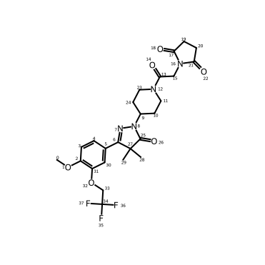 COc1ccc(C2=NN(C3CCN(C(=O)CN4C(=O)CCC4=O)CC3)C(=O)C2(C)C)cc1OCC(F)(F)F